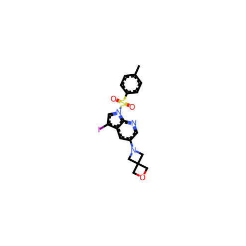 Cc1ccc(S(=O)(=O)n2cc(I)c3cc(N4CC5(COC5)C4)cnc32)cc1